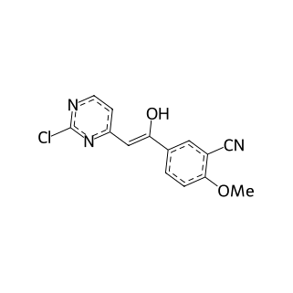 COc1ccc(/C(O)=C/c2ccnc(Cl)n2)cc1C#N